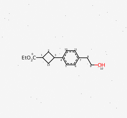 CCOC(=O)C1CC(c2ccc(CCO)cc2)C1